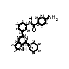 Nc1ccc(C(=O)Nc2cccc(-c3nc(N4CCCCC4)c4[nH]ccc4n3)c2)cn1